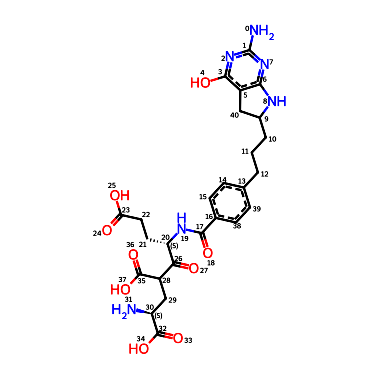 Nc1nc(O)c2c(n1)NC(CCCc1ccc(C(=O)N[C@@H](CCC(=O)O)C(=O)C(C[C@H](N)C(=O)O)C(=O)O)cc1)C2